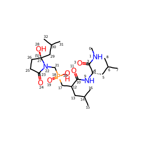 CNC(=O)[C@H](CC(C)C)NC(=O)C(CC(C)C)CP(=O)(O)CN1C(=O)CC[C@]1(O)CC(C)C